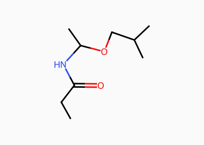 CCC(=O)NC(C)OCC(C)C